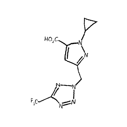 O=C(O)c1cc(Cn2nnc(C(F)(F)F)n2)nn1C1CC1